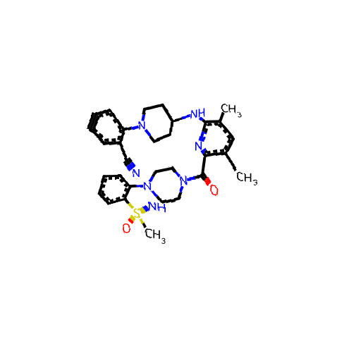 Cc1cc(C)c(C(=O)N2CCN(c3ccccc3S(C)(=N)=O)CC2)nc1NC1CCN(c2cc#ccc2C#N)CC1